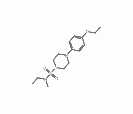 CCOc1ccc(N2CCN(S(=O)(=O)N(C)CC)CC2)cc1